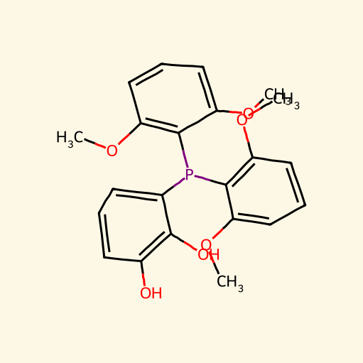 COc1cccc(OC)c1P(c1cccc(O)c1O)c1c(OC)cccc1OC